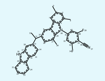 Cc1cc(C)c2c(c1)c1cc(C(C)c3ccc4c(c3)[nH]c3ccccc34)cc(C)c1n2-c1cc(F)c(C#N)c(F)c1